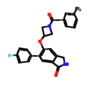 O=C1NCc2cc(OC3CN(C(=O)c4cccc(C(F)(F)F)c4)C3)c(-c3ccc(F)cc3)cc21